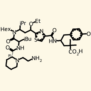 CCCCCCN(C(=O)C(NC(=O)[C@H]1CCCCN1CCN)C(C)CC)C(CC(OCC)c1nc(C(=O)NC(Cc2ccc(O)cc2)CC(C)(C)C(=O)O)cs1)C(C)C